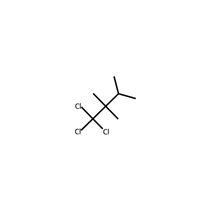 CC(C)C(C)(C)C(Cl)(Cl)Cl